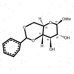 CO[C@@H]1O[C@@H]2COC(c3ccccc3)O[C@H]2[C@H](O)[C@H]1O